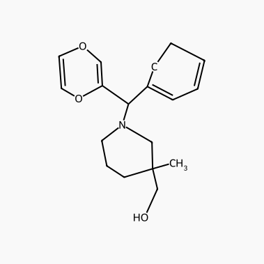 CC1(CO)CCCN(C(C2=CC=CCC2)C2=COC=CO2)C1